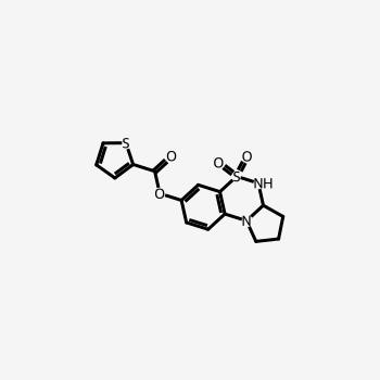 O=C(Oc1ccc2c(c1)S(=O)(=O)NC1CCCN21)c1cccs1